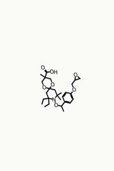 CCC1(CC)CC2(CC(C)(C)N1OC(C)c1ccc(OCC3CO3)cc1)OCC(C)(C(=O)O)CO2